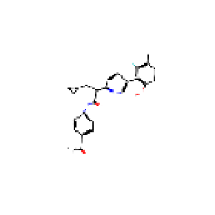 CCOC1=C(c2ccc(C(CC3CC3)C(=O)Nc3ccc(C(=O)N=O)cc3)nc2)C(F)=C(C)CC1